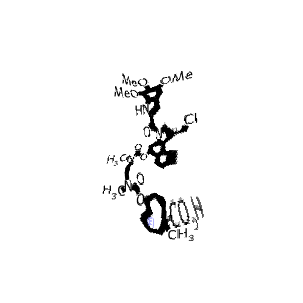 COc1cc2cc(C(=O)N3C[C@@H](CCl)c4c3cc(OC(=O)N(C)CCN(C)C(=O)O[C@H]3/C=C/CC[C@@](C)(C(=O)O)CC3)c3ccccc43)[nH]c2c(OC)c1OC